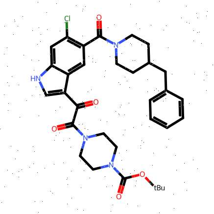 CC(C)(C)OC(=O)N1CCN(C(=O)C(=O)c2c[nH]c3cc(Cl)c(C(=O)N4CCC(Cc5ccccc5)CC4)cc23)CC1